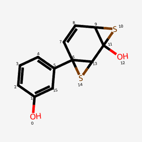 Oc1cccc(C23C=CC4SC4(O)C2S3)c1